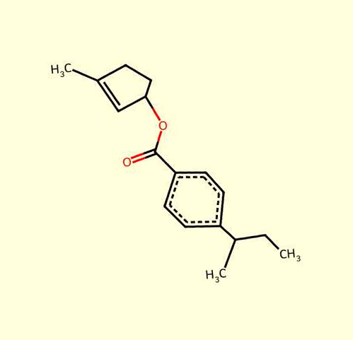 CCC(C)c1ccc(C(=O)OC2C=C(C)CC2)cc1